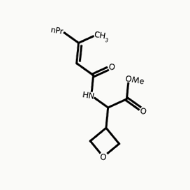 CCC/C(C)=C/C(=O)NC(C(=O)OC)C1COC1